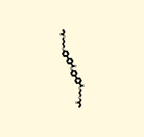 C=CC(=O)COCCCOC(=O)c1ccc(-c2ccc(OC(=O)c3ccc(-c4ccc(OCCCCOC(=O)C=C)cc4)cc3)cc2)cc1